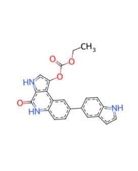 CCOC(=O)Oc1c[nH]c2c(=O)[nH]c3ccc(-c4ccc5[nH]ccc5c4)cc3c12